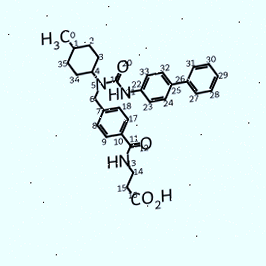 CC1CCC(N(Cc2ccc(C(=O)NCCC(=O)O)cc2)C(=O)Nc2ccc(-c3ccccc3)cc2)CC1